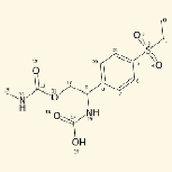 CCS(=O)(=O)c1ccc(C(COC(=O)NC)NC(=O)O)cc1